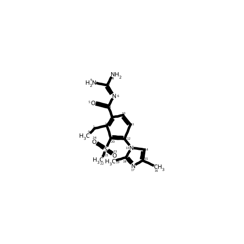 CCc1c(C(=O)N=C(N)N)ccc(-n2cc(C)nc2C)c1S(C)(=O)=O